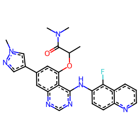 CC(Oc1cc(-c2cnn(C)c2)cc2ncnc(Nc3ccc4ncccc4c3F)c12)C(=O)N(C)C